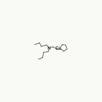 CCCCN(CCCC)C[CH2][Ga]1[CH2]CC[CH2]1